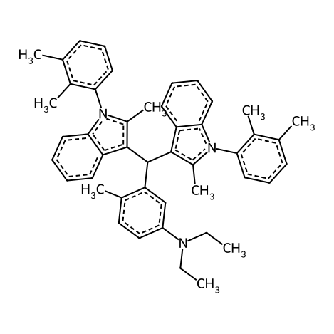 CCN(CC)c1ccc(C)c(C(c2c(C)n(-c3cccc(C)c3C)c3ccccc23)c2c(C)n(-c3cccc(C)c3C)c3ccccc23)c1